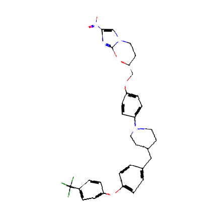 O=[N+]([O-])c1cn2c(n1)O[C@H](COc1ccc(N3CCC(Cc4ccc(Oc5ccc(C(F)(F)F)cc5)cc4)CC3)cc1)CC2